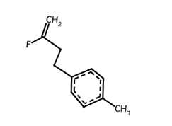 C=C(F)CCc1ccc(C)cc1